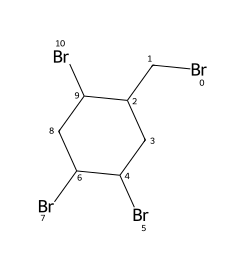 BrCC1CC(Br)C(Br)CC1Br